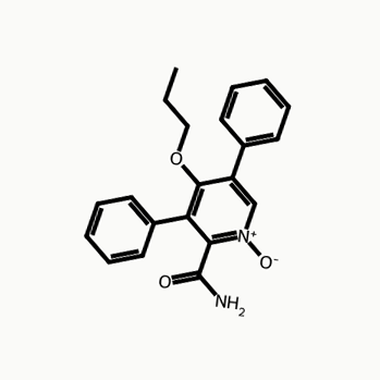 CCCOc1c(-c2ccccc2)c[n+]([O-])c(C(N)=O)c1-c1ccccc1